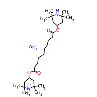 CC1(C)CC(OC(=O)CCCCCCCCC(=O)OC2CC(C)(C)NC(C)(C)C2)CC(C)(C)N1.N